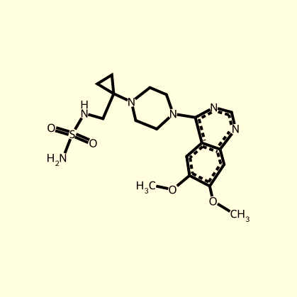 COc1cc2ncnc(N3CCN(C4(CNS(N)(=O)=O)CC4)CC3)c2cc1OC